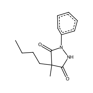 CCCCC1(C)C(=O)NN(c2ccccc2)C1=O